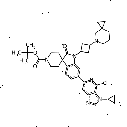 CC(C)(C)OC(=O)N1CCC2(CC1)C(=O)N(C1CC(N3CCCC4(CC4)C3)C1)c1cc(-c3cc4ncn(C5CC5)c4c(Cl)n3)ccc12